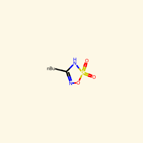 CCCCC1=NOS(=O)(=O)N1